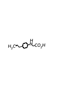 C=CCc1ccc(NCC(=O)O)cc1